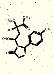 COC(=O)C(O)(CC(C=O)N1C(=O)CSC1c1ccc(OC(C)=O)cc1)OC